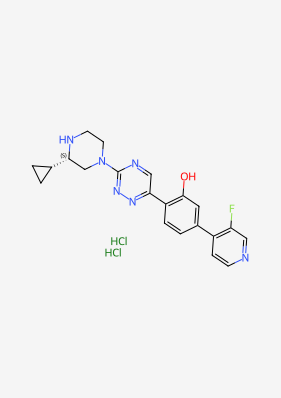 Cl.Cl.Oc1cc(-c2ccncc2F)ccc1-c1cnc(N2CCN[C@@H](C3CC3)C2)nn1